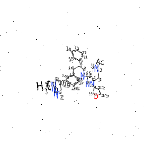 CC(=O)N1CCc2c(c(N3C[C@@H](c4ccccc4)Cc4cc(-c5cnn(C)c5)ccc43)nn2[C@H]2CCOC2)C1